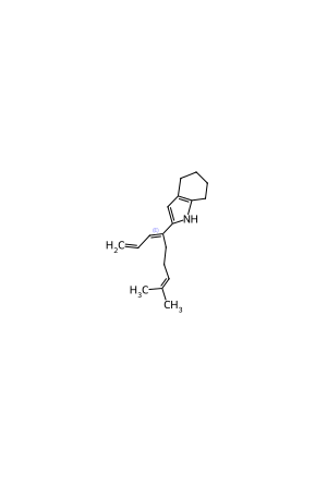 C=C/C=C(\CCC=C(C)C)c1cc2c([nH]1)CCCC2